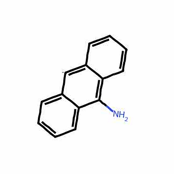 Nc1c2ccccc2[c]c2ccccc12